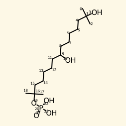 CC(C)(O)CCCCCC(O)CCCCCC(C)(C)OP(=O)(O)O